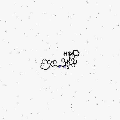 O=C(NN1C(=O)S/C(=C/C=C/C2CC3(CCCCCCCC3)CO2)C1=O)c1ccccc1O